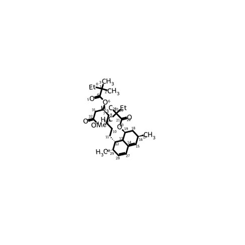 CCC(C)(C)C(=O)O[C@@H](CCCC[C@@H]1C2C(=C[C@H](C)C[C@@H]2OC(=O)C(C)(C)CC)C=C[C@@H]1C)CC(=O)OC